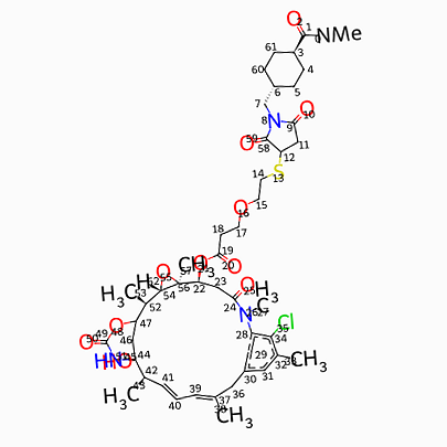 CNC(=O)[C@H]1CC[C@H](CN2C(=O)CC(SCCOCCC(=O)O[C@H]3CC(=O)N(C)c4cc(cc(C)c4Cl)C/C(C)=C/C=C/[C@@H](C)[C@@]4(O)CC(OC(=O)N4)[C@@H](C)[C@@H]4O[C@@]34C)C2=O)CC1